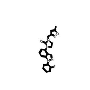 Cc1cc(CN2CCN(c3cccc4c3cnn4-c3ccccc3F)C2=O)no1